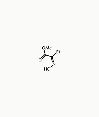 CC/C(=N/O)C(=O)OC